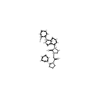 O=C1N(CC(=O)N2CCC[C@@H]2c2ccccc2)CCN1c1cccc2c1cnn2-c1ccccc1F